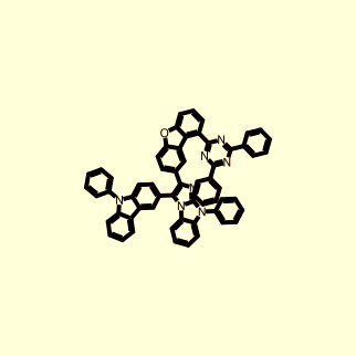 c1ccc(-c2nc(-c3ccccc3)nc(-c3cccc4oc5ccc(-c6nc7n(-c8ccccc8)c8ccccc8n7c6-c6ccc7c(c6)c6ccccc6n7-c6ccccc6)cc5c34)n2)cc1